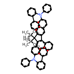 C[Si](C)(C)C1([Si](C)(C)C)c2cc3cc(N(c4ccccc4)c4ccccc4-c4ccccc4)ccc3cc2-c2c1c1ccc(N(c3ccccc3)c3ccccc3-c3ccccc3)cc1c1ccccc21